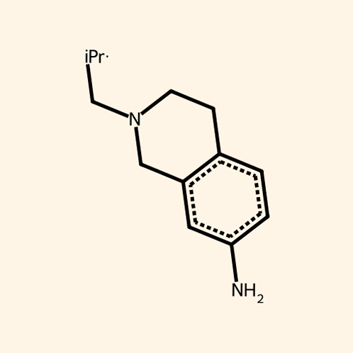 C[C](C)CN1CCc2ccc(N)cc2C1